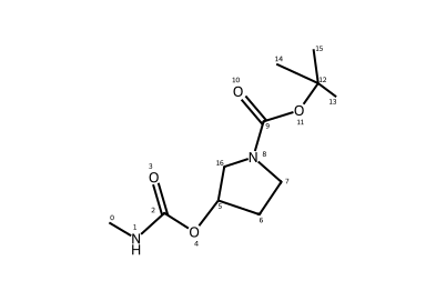 CNC(=O)OC1CCN(C(=O)OC(C)(C)C)C1